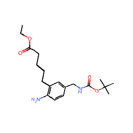 CCOC(=O)CCCCc1cc(CNC(=O)OC(C)(C)C)ccc1N